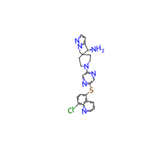 N[C@@H]1c2ccnn2CC12CCN(c1cnc(Sc3ccc(Cl)c4ncccc34)cn1)CC2